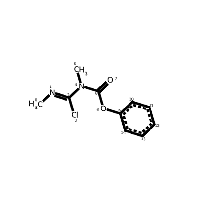 CN=C(Cl)N(C)C(=O)Oc1ccccc1